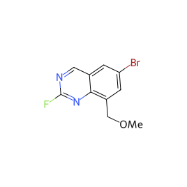 COCc1cc(Br)cc2cnc(F)nc12